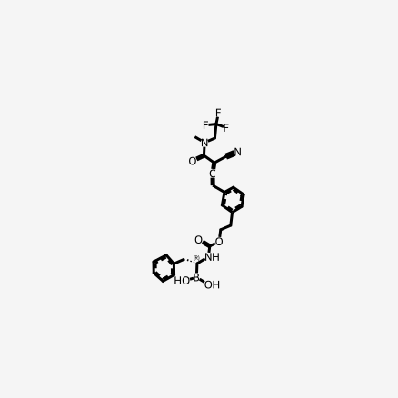 CN(CC(F)(F)F)C(=O)C(=C=Cc1cccc(CCOC(=O)N[C@@H](Cc2ccccc2)B(O)O)c1)C#N